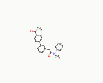 CC(=O)c1ccc(-c2cccc(CC(=O)N(C)c3ccccc3)c2)cc1